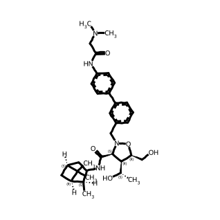 C[C@H](O)[C@@H]1[C@H](CO)ON(Cc2cccc(-c3ccc(NC(=O)CN(C)C)cc3)c2)[C@@H]1C(=O)NC1C[C@@H]2C[C@H]([C@@H]1C)C2(C)C